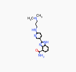 CN(C)CCCNc1ccc(-c2nc3c(C(N)=O)cccc3[nH]2)cn1